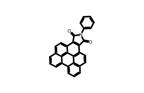 O=c1c2c3ccc4cccc5c6cccc7ccc(c2c(=O)n1-c1ccccc1)c(c76)c3c45